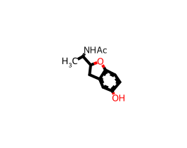 CC(=O)NC(C)C1Cc2cc(O)ccc2O1